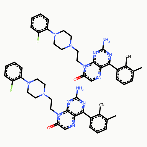 Cc1cccc(-c2nc(N)nc3c2ncc(=O)n3CCN2CCN(c3ccccc3F)CC2)c1C#N.Cc1cccc(-c2nc(N)nc3c2ncc(=O)n3CCN2CCN(c3ccccc3F)CC2)c1C#N